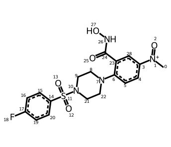 C[N+](=O)c1ccc(N2CCN(S(=O)(=O)c3ccc(F)cc3)CC2)c(C(=O)NO)c1